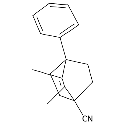 CC1=C(C)C2(c3ccccc3)CCC1(C#N)CC2